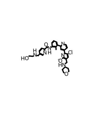 COc1nc(-c2ccnc(-c3cccc(NC(=O)c4ccc(CNCCO)cn4)c3C)c2)c(Cl)cc1CNC1CCOCC1